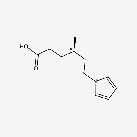 C[C@H](CCC(=O)O)CCn1cccc1